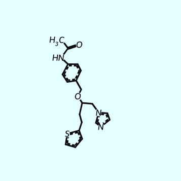 CC(=O)Nc1ccc(COC(CCc2cccs2)Cn2ccnc2)cc1